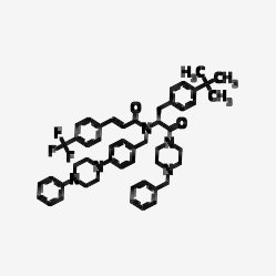 CC(C)(C)c1ccc(C[C@@H](C(=O)N2CCN(Cc3ccccc3)CC2)N(Cc2ccc(N3CCN(c4ccccc4)CC3)cc2)C(=O)/C=C/c2ccc(C(F)(F)F)cc2)cc1